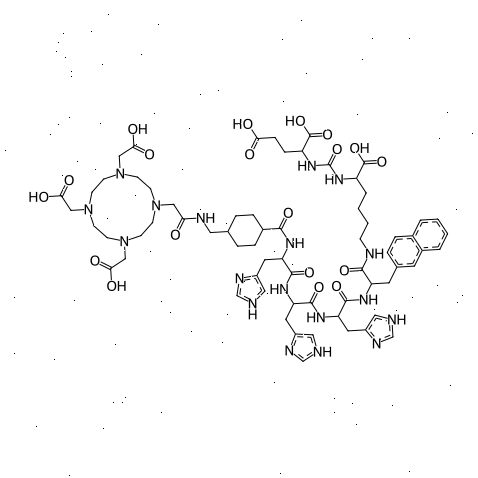 O=C(O)CCC(NC(=O)NC(CCCCNC(=O)C(Cc1ccc2ccccc2c1)NC(=O)C(Cc1c[nH]cn1)NC(=O)C(Cc1c[nH]cn1)NC(=O)C(Cc1c[nH]cn1)NC(=O)C1CCC(CNC(=O)CN2CCN(CC(=O)O)CCN(CC(=O)O)CCN(CC(=O)O)CC2)CC1)C(=O)O)C(=O)O